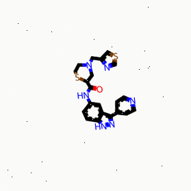 O=C(Nc1ccc2[nH]nc(-c3ccncc3)c2c1)C1CN(Cc2cscn2)CCS1